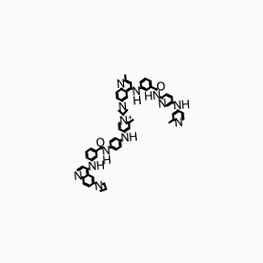 Cc1cc(Nc2ccc(NC(=O)c3cccc(Nc4cc(C)nc5ccc(N6CC([n+]7ccc(Nc8ccc(NC(=O)c9cccc(Nc%10ccnc%11ccc(N%12CCC%12)cc%10%11)c9)cc8)cc7C)C6)cc45)c3)nc2)ccn1